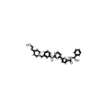 O=C(N[C@H](S)c1ccccc1)c1ccc(-c2ccnc(Nc3cccc(CN4CCC(CCO)CC4)c3)n2)s1